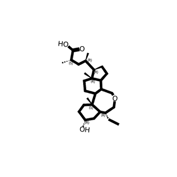 CC[C@H]1COCC2C(CC[C@@]3(C)C2CC[C@@H]3[C@H](C)C[C@H](C)C(=O)O)[C@@]2(C)CC[C@@H](O)CC12